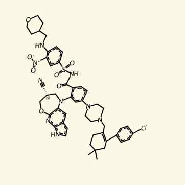 CC1(C)CCC(CN2CCN(c3ccc(C(=O)NS(=O)(=O)c4ccc(NCC5CCOCC5)c([N+](=O)[O-])c4)c(N4C[C@@H](C#N)COc5nc6[nH]ccc6cc54)c3)CC2)=C(c2ccc(Cl)cc2)C1